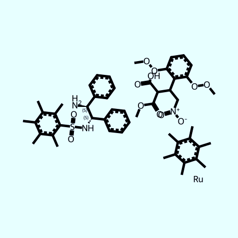 COOc1cccc(OOC)c1C(C[N+](=O)[O-])C(C(=O)O)C(=O)OC.Cc1c(C)c(C)c(C)c(C)c1C.Cc1c(C)c(C)c(S(=O)(=O)N[C@@H](c2ccccc2)[C@@H](N)c2ccccc2)c(C)c1C.[Ru]